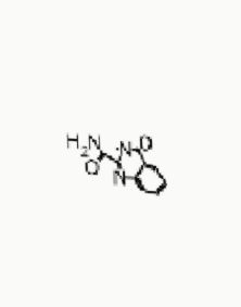 NC(=O)C1=Nc2ccccc2C(=O)[N]1